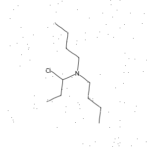 CCCCN(CCCC)C(Cl)CC